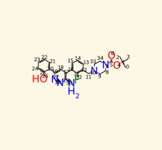 CC(C)(C)OC(=O)N1CCN(Cc2cccc(-c3cc(-c4ccccc4O)nnc3N)c2F)CC1